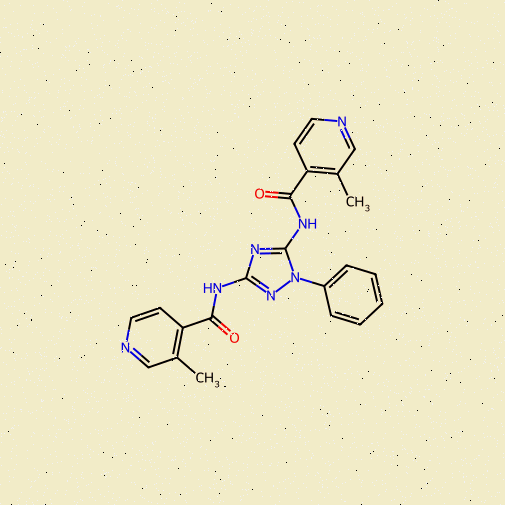 Cc1cnccc1C(=O)Nc1nc(NC(=O)c2ccncc2C)n(-c2ccccc2)n1